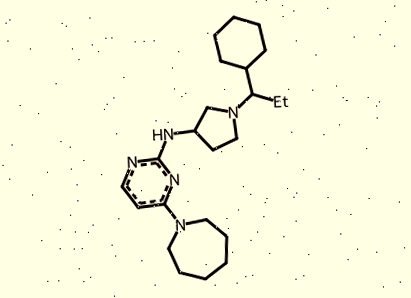 CCC(C1CCCCC1)N1CCC(Nc2nccc(N3CCCCCC3)n2)C1